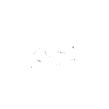 CS/C(N)=N\C(C)c1cc(N)ccc1F